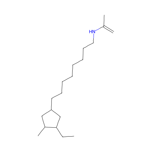 C=C(C)NCCCCCCCCC1CC(C)C(CC)C1